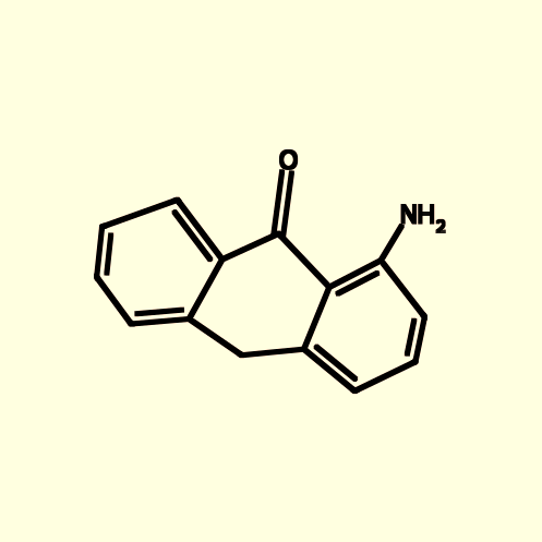 Nc1cccc2c1C(=O)c1ccccc1C2